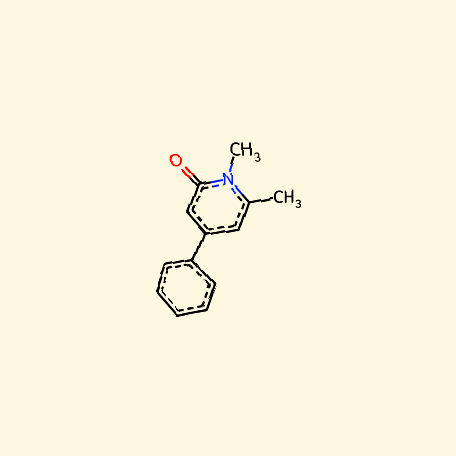 Cc1cc(-c2ccccc2)cc(=O)n1C